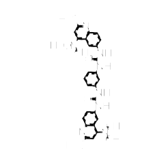 Cc1cc(N(C)C)c2cc(NC(=O)Nc3cccc(NC(=O)Nc4ccc5nc(C)cc(N(C)C)c5c4)c3)ccc2n1